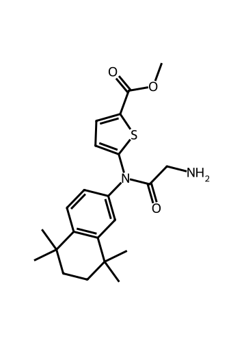 COC(=O)c1ccc(N(C(=O)CN)c2ccc3c(c2)C(C)(C)CCC3(C)C)s1